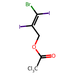 O=C(OCC(I)=C(Br)I)C(Cl)(Cl)Cl